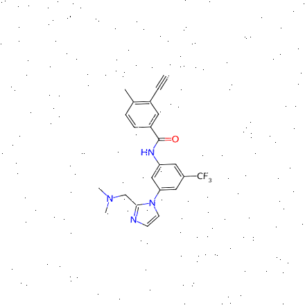 C#Cc1cc(C(=O)Nc2cc(-n3ccnc3CN(C)C)cc(C(F)(F)F)c2)ccc1C